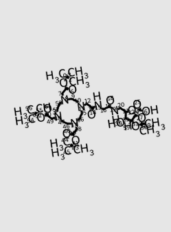 CC(C)(C)OC(=O)CN1CCN(CC(=O)NCC(=O)NCC2O[C@@]3(C(=O)O)OC(C)(C)O[C@H]3[C@@H]2O)CCN(CC(=O)OC(C)(C)C)CCN(CC(=O)OC(C)(C)C)CC1